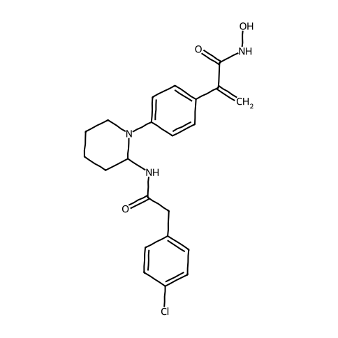 C=C(C(=O)NO)c1ccc(N2CCCCC2NC(=O)Cc2ccc(Cl)cc2)cc1